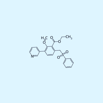 CCOC(=O)c1c(CS(=O)(=O)c2ccccc2)ccc(-c2cccnc2)c1OC